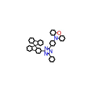 c1ccc(-c2nc(-c3ccc(N4c5ccccc5Oc5ccccc54)cc3)nc(-c3ccc4c(c3)C3(c5ccccc5-c5ccccc53)c3ccccc3-4)n2)cc1